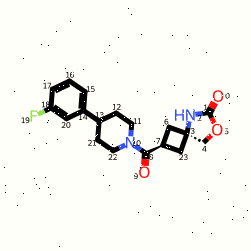 O=C1N[C@]2(CO1)C[C@H](C(=O)N1CCC(c3cccc(F)c3)CC1)C2